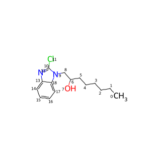 CCCCCCC(O)Cn1c(Cl)nc2ccccc21